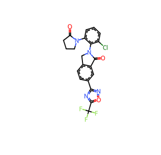 O=C1CCCN1c1cccc(Cl)c1N1Cc2ccc(-c3noc(C(F)(F)F)n3)cc2C1=O